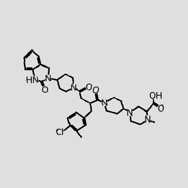 Cc1cc(CC(CC(=O)N2CCC(N3Cc4ccccc4NC3=O)CC2)C(=O)N2CCC(N3CCN(C)C(C(=O)O)C3)CC2)ccc1Cl